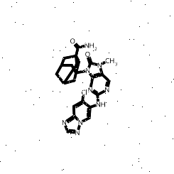 Cn1c(=O)n(C23CC4CC(CC(C(N)=O)(C4)C2)C3)c2nc(Nc3cn4ncnc4cc3Cl)ncc21